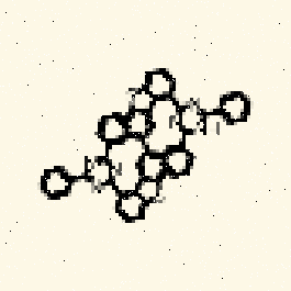 c1ccc(C2=NC(c3cccc4sc5ccc(-c6ccc7sc8cccc(-c9nc(-c%10ccccc%10)nc(-c%10ccccc%10)n9)c8c7c6)cc5c34)=NC(c3ccccc3)N2)cc1